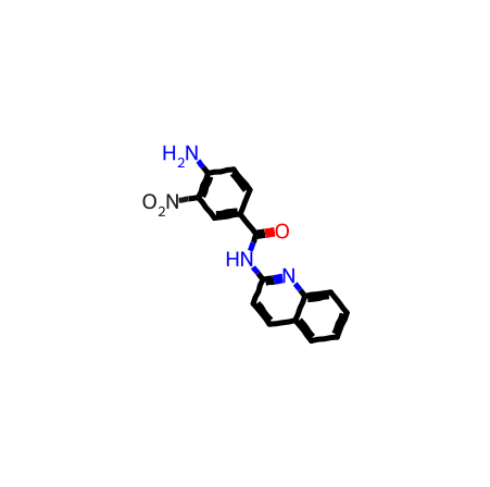 Nc1ccc(C(=O)Nc2ccc3ccccc3n2)cc1[N+](=O)[O-]